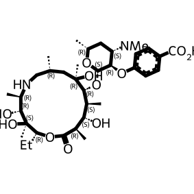 CC[C@H]1OC(=O)[C@H](C)[C@@H](O)[C@H](C)[C@@H](O[C@@H]2O[C@H](C)C[C@H](NC)[C@H]2Oc2ccc(C(=O)O)cc2)[C@](C)(O)C[C@@H](C)CN[C@H](C)[C@@H](O)[C@]1(C)O